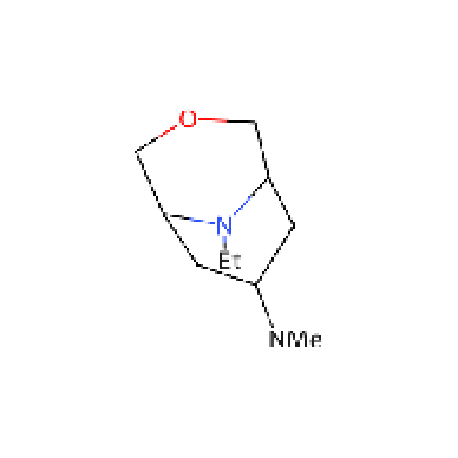 CCN1C2COCC1CC(NC)C2